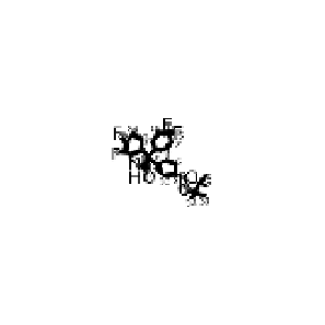 CC1(C)OB(c2ccc(C3(C4CCC(F)(F)CC4)C(=O)Nc4c3ccc(F)c4F)cc2)OC1(C)C